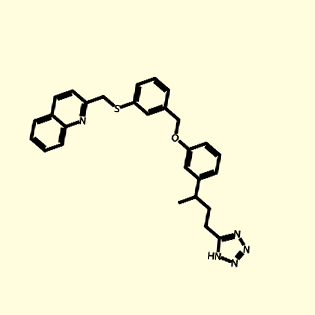 CC(CCc1nnn[nH]1)c1cccc(OCc2cccc(SCc3ccc4ccccc4n3)c2)c1